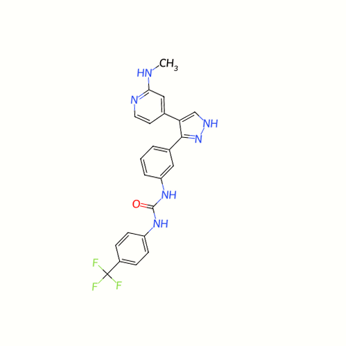 CNc1cc(-c2c[nH]nc2-c2cccc(NC(=O)Nc3ccc(C(F)(F)F)cc3)c2)ccn1